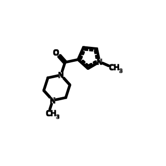 CN1CCN(C(=O)c2ccn(C)c2)CC1